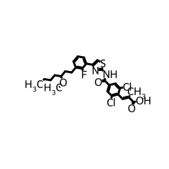 CCCCC(CCc1cccc(-c2csc(NC(=O)c3cc(Cl)c(C=C(C)C(=O)O)c(Cl)c3)n2)c1F)OC